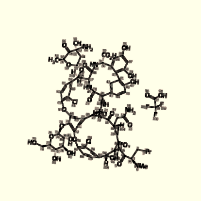 CN[C@H](CC(C)C)C(=O)N[C@H]1C(=O)N[C@@H](CC(N)=O)C(=O)N[C@H]2C(=O)N[C@H]3C(=O)N[C@H](C(=O)N[C@H](C(=O)O)c4cc(O)cc(O)c4-c4cc3ccc4O)[C@H](O[C@H]3C[C@](C)(N)C(=O)[C@H](C)O3)c3ccc(c(Cl)c3)Oc3cc2cc(c3O[C@@H]2O[C@H](CO)[C@@H](O)[C@H](O)[C@H]2O)Oc2ccc(cc2Cl)[C@H]1O.O=C(O)C(F)(F)F